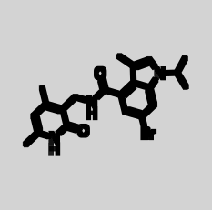 Cc1cc(C)c(CNC(=O)c2cc(Br)cc3c2c(C)cn3C(C)C)c(=O)[nH]1